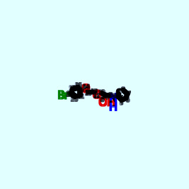 O[C@H](CNC1CCCCC1)COCCOc1ccc(Br)cc1